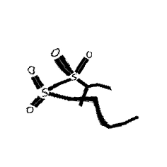 CCCCS(=O)(=O)S(=O)(=O)C(C)C